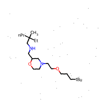 CCCC(C)(CC)CNCC1CN(CCOCCCC(C)(C)C)CCO1